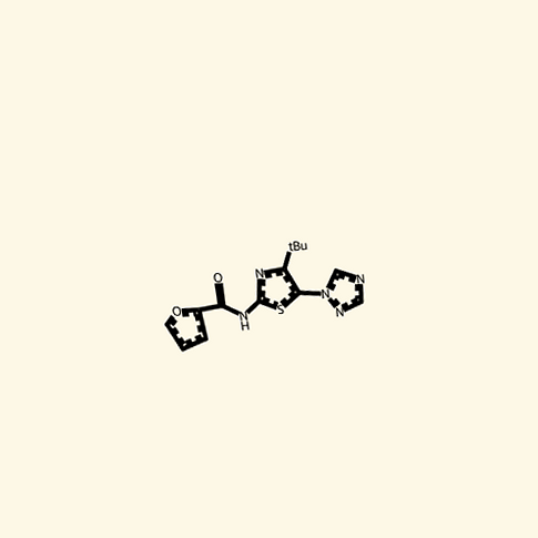 CC(C)(C)c1nc(NC(=O)c2ccco2)sc1-n1cncn1